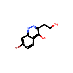 OCCc1nnc2cc(Br)ccc2c1O